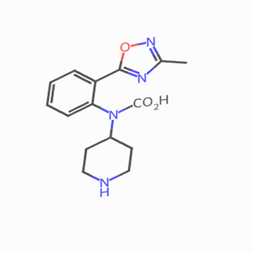 Cc1noc(-c2ccccc2N(C(=O)O)C2CCNCC2)n1